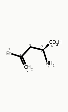 C=C(CC)C[C@H](N)C(=O)O